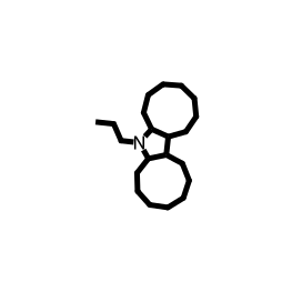 CCCN1C2CCCCCCCC2C2CCCCCCCC21